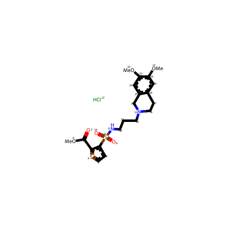 COC(=O)c1sccc1S(=O)(=O)NCCCN1CCc2cc(OC)c(OC)cc2C1.Cl